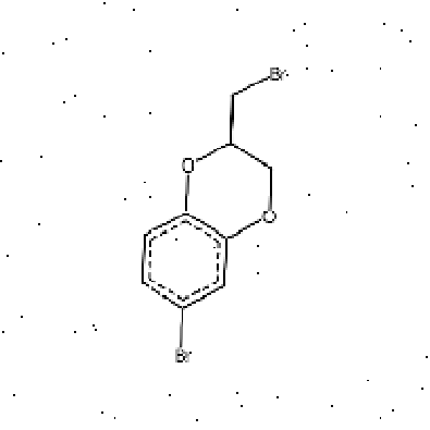 BrCC1COc2cc(Br)ccc2O1